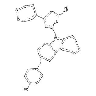 N#Cc1ccc(-c2ccc3c(c2)c2ccccc2n3-c2cc(C#N)cc(-c3ccncc3)c2)cc1